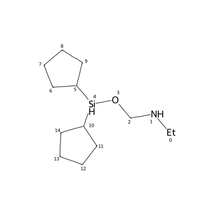 CCNCO[SiH](C1CCCC1)C1CCCC1